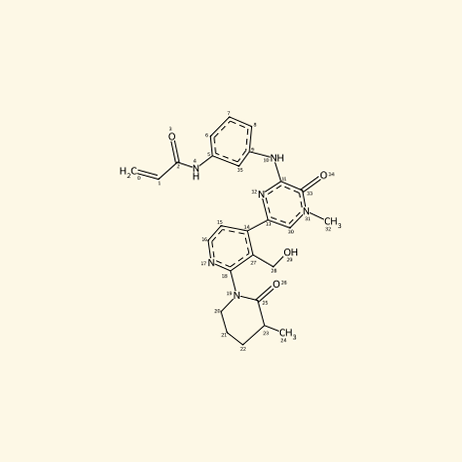 C=CC(=O)Nc1cccc(Nc2nc(-c3ccnc(N4CCCC(C)C4=O)c3CO)cn(C)c2=O)c1